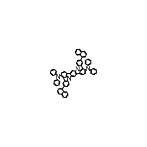 c1ccc(N(c2ccccc2)c2ccc3c4cc5c(cc4n4c6ccc(-c7cccc8ccccc78)cc6c2c34)c2ccc(N(c3ccccc3)c3ccccc3)c3c4cc(-c6cccc7ccccc67)ccc4n5c23)cc1